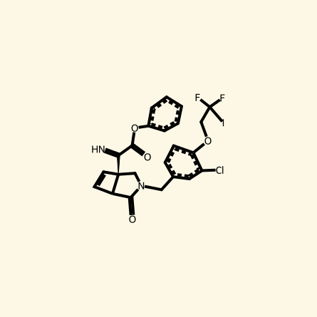 N=C(C(=O)Oc1ccccc1)[C@]12C=CC1C(=O)N(Cc1ccc(OCC(F)(F)I)c(Cl)c1)C2